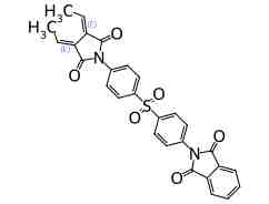 C/C=C1/C(=O)N(c2ccc(S(=O)(=O)c3ccc(N4C(=O)c5ccccc5C4=O)cc3)cc2)C(=O)/C1=C/C